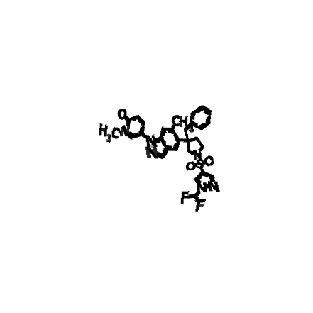 Cc1cc2c(cnn2-c2ccc(=O)n(C)c2)cc1C1(Cc2ccccc2)CCN(S(=O)(=O)c2cnn(C(F)F)c2)C1